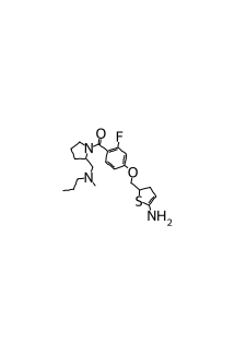 CCCN(C)CC1CCCN1C(=O)c1ccc(OCC2CC=C(N)S2)cc1F